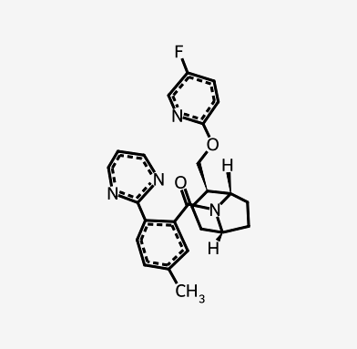 Cc1ccc(-c2ncccn2)c(C(=O)N2[C@H]3CC[C@@H](COc4ccc(F)cn4)[C@@H]2CC3)c1